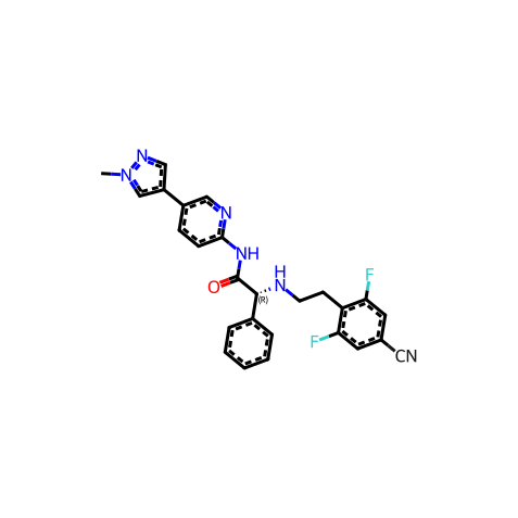 Cn1cc(-c2ccc(NC(=O)[C@H](NCCc3c(F)cc(C#N)cc3F)c3ccccc3)nc2)cn1